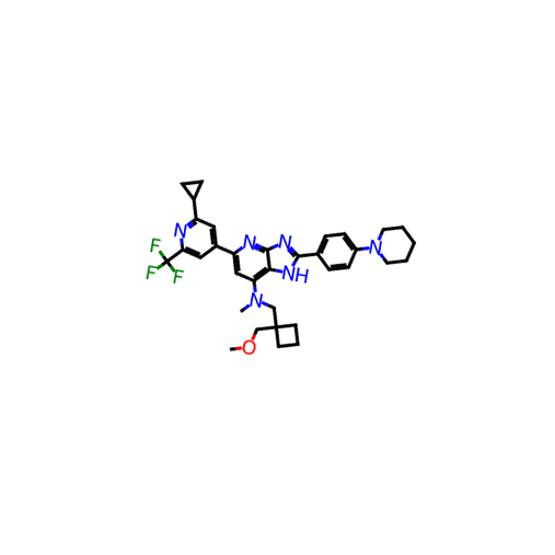 COCC1(CN(C)c2cc(-c3cc(C4CC4)nc(C(F)(F)F)c3)nc3nc(-c4ccc(N5CCCCC5)cc4)[nH]c23)CCC1